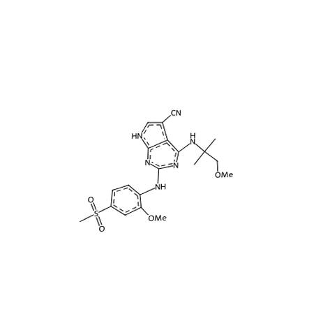 COCC(C)(C)Nc1nc(Nc2ccc(S(C)(=O)=O)cc2OC)nc2[nH]cc(C#N)c12